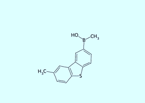 CB(O)c1ccc2sc3ccc(C)cc3c2c1